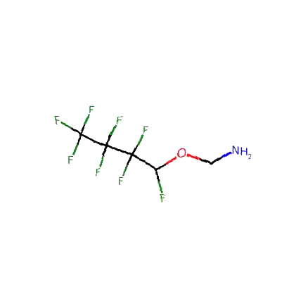 NCOC(F)C(F)(F)C(F)(F)C(F)(F)F